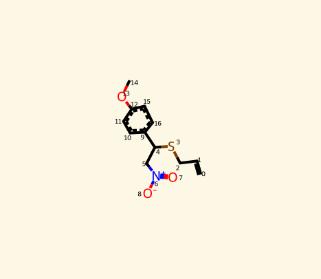 C=CCSC(C[N+](=O)[O-])c1ccc(OC)cc1